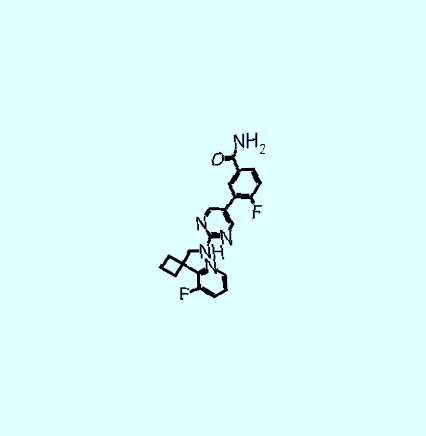 NC(=O)c1ccc(F)c(-c2cnc(NCC3(c4ncccc4F)CCC3)nc2)c1